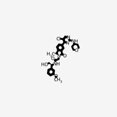 COc1cccc([C@@H](CO)NC(=O)CN2C(=O)c3cc(-c4nc(NC5CCOCC5)ncc4Cl)ccc3[C@H]2C)c1